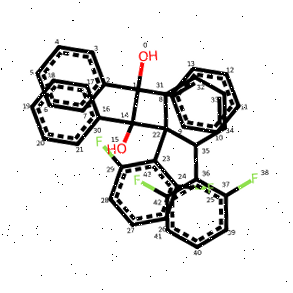 OC(c1ccccc1)(c1ccccc1)C(O)(c1ccccc1)C1(c2c(F)cccc2F)C=CC=CC1c1c(F)cccc1F